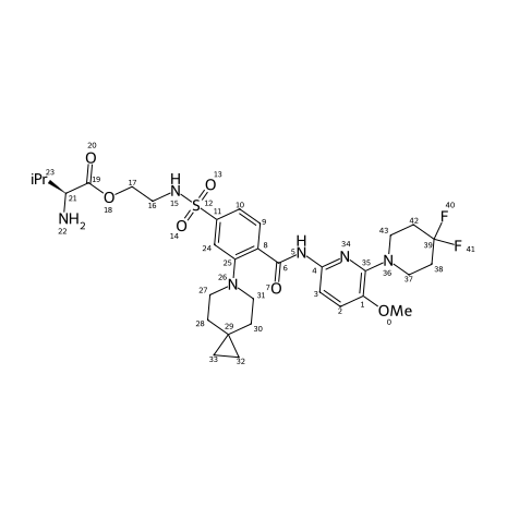 COc1ccc(NC(=O)c2ccc(S(=O)(=O)NCCOC(=O)[C@@H](N)C(C)C)cc2N2CCC3(CC2)CC3)nc1N1CCC(F)(F)CC1